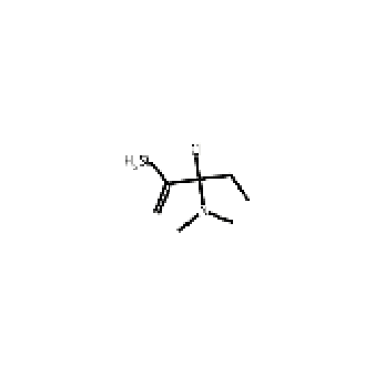 C=C([SiH3])C(Cl)(CC)N(C)C